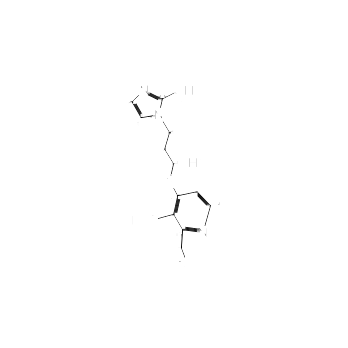 Cc1c(SCCCn2ccnc2C)ccnc1CCl.Cl